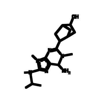 CC(C)N(C)c1nc2c(n1C)N=C(C1CC3CC1CC3O)N(C)C2N